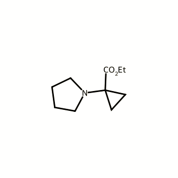 CCOC(=O)C1(N2CCCC2)CC1